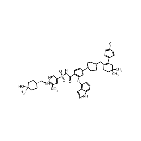 CC1(C)CCC(CN2CCN(c3ccc(C(=O)NS(=O)(=O)c4cnc(NC[C@H]5CC[C@@](C)(O)CC5)c([N+](=O)[O-])c4)c(Oc4cccc5[nH]ncc45)c3)CC2)=C(c2ccc(Cl)cc2)C1